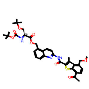 COCc1ccc(C(C)=O)c2sc(C(=O)Nc3ccc4c(COC(=O)[C@H](COC(C)(C)C)NC(=O)OC(C)(C)C)cccc4n3)c(C)c12